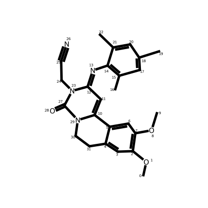 COc1cc2c(cc1OC)-c1c/c(=N\c3c(C)cc(C)cc3C)n(CC#N)c(=O)n1CC2